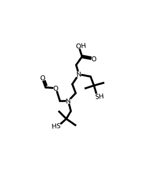 CC(C)(S)CN(CCN(CC(=O)O)CC(C)(C)S)COC=O